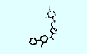 CC(c1ccc(-c2ccccc2)c(F)c1)c1cc(CNC2=NCNCN2)no1